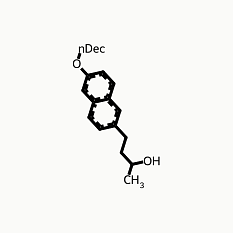 CCCCCCCCCCOc1ccc2cc(CCC(C)O)ccc2c1